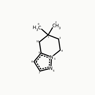 CC1(C)CCn2nccc2C1